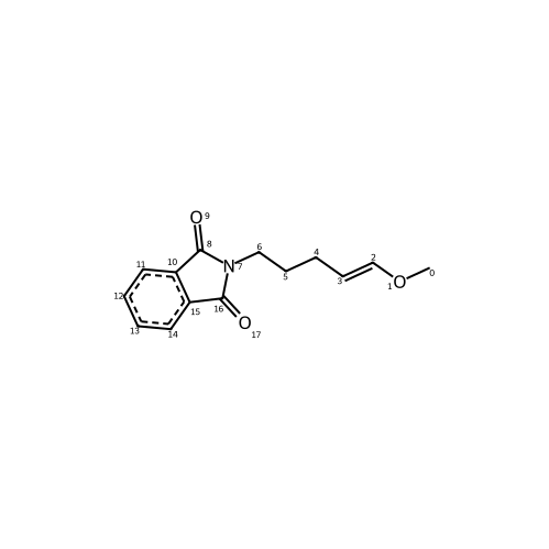 CO/C=C/CCCN1C(=O)c2ccccc2C1=O